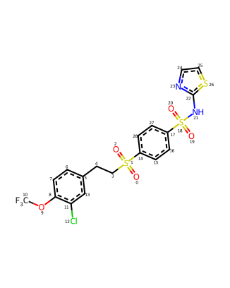 O=S(=O)(CCc1ccc(OC(F)(F)F)c(Cl)c1)c1ccc(S(=O)(=O)Nc2nccs2)cc1